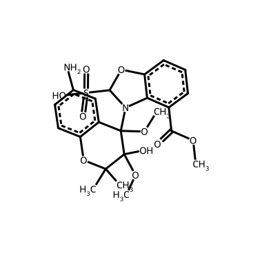 COC(=O)c1cccc2c1N(C1(OC)c3cc(N)ccc3OC(C)(C)C1(O)OC)C(S(=O)(=O)O)O2